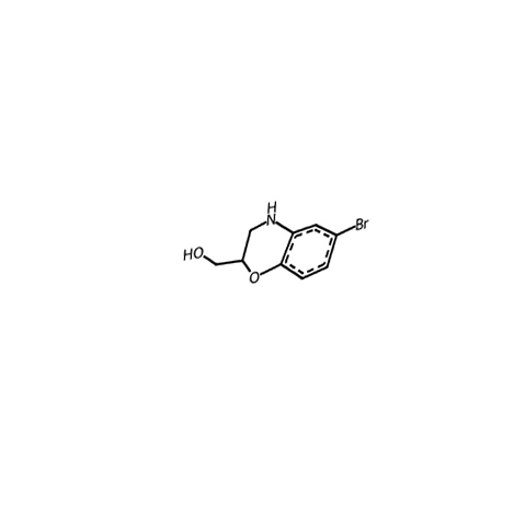 OCC1CNc2cc(Br)ccc2O1